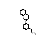 NCc1cccc(N2CCc3ccccc3C2)c1